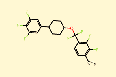 Cc1ccc(C(F)(F)OC2CCC(c3cc(F)c(F)c(F)c3)CC2)c(F)c1F